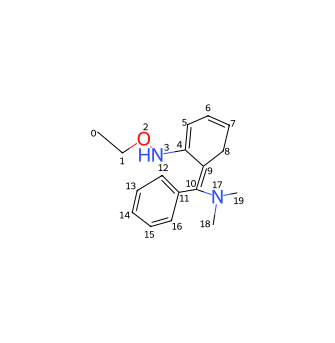 CCONC1=CC=CCC1=C(c1ccccc1)N(C)C